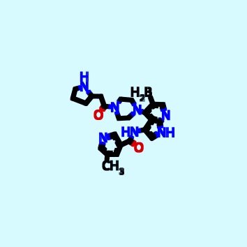 Bc1cnc2[nH]cc(NC(=O)c3cncc(C)c3)c2c1N1CCN(C(=O)CC2CCCN2)CC1